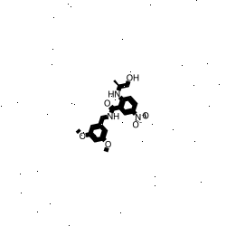 COc1cc(CNC(=O)c2cc([N+](=O)[O-])ccc2N[C@@H](C)CO)cc(OC)c1